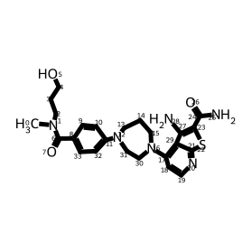 CN(CCCO)C(=O)c1ccc(N2CCCN(c3ccnc4sc(C(N)=O)c(N)c34)CC2)cc1